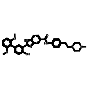 COc1cccc(OC)c1-c1ccc(O)c(-c2nc3cc(C(=O)Nc4ccc(CCN5CCN(C)CC5)cc4)ccc3[nH]2)c1